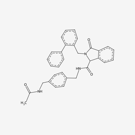 CC(=O)NCc1ccc(CNC(=O)C2c3ccccc3C(=O)N2Cc2ccccc2-c2ccccc2)cc1